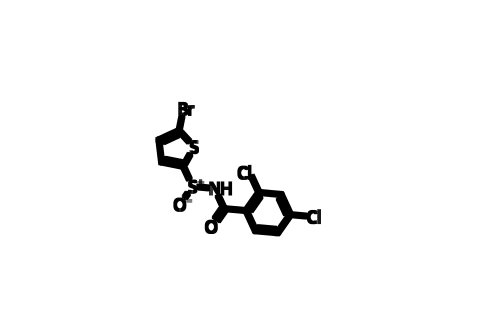 O=C(N[S+]([O-])c1ccc(Br)s1)c1ccc(Cl)cc1Cl